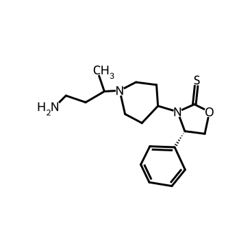 CC(CCN)N1CCC(N2C(=S)OC[C@@H]2c2ccccc2)CC1